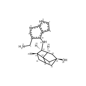 NCc1cnc2[nH]ccc2c1N[C@H]1[C@@H]2CC3C[C@H]1C[C@@](O)(C3)C2